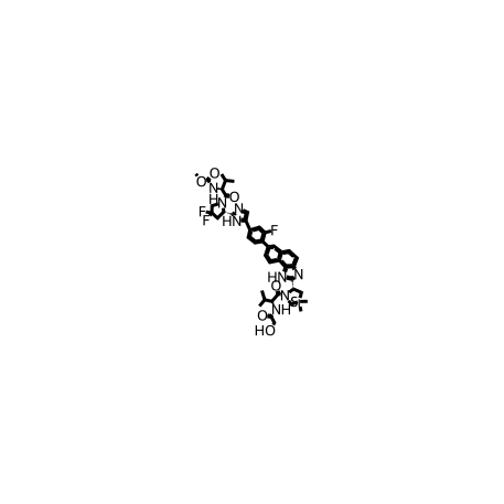 COC(=O)N[C@H](C(=O)N1CC(F)(F)C[C@H]1c1ncc(-c2ccc(-c3ccc4c(ccc5nc([C@@H]6C[Si](C)(C)CN6C(=O)[C@@H](NC(=O)CO)C(C)C)[nH]c54)c3)c(F)c2)[nH]1)C(C)C